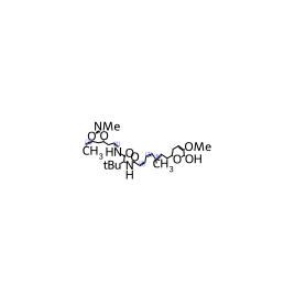 C/C=C\CC(C/C=C\NC(=O)C(NC(=O)\C=C/C=C\C(C)=C\CC1CC=C(OC)C(O)O1)C(C)(C)C)OC(=O)NC